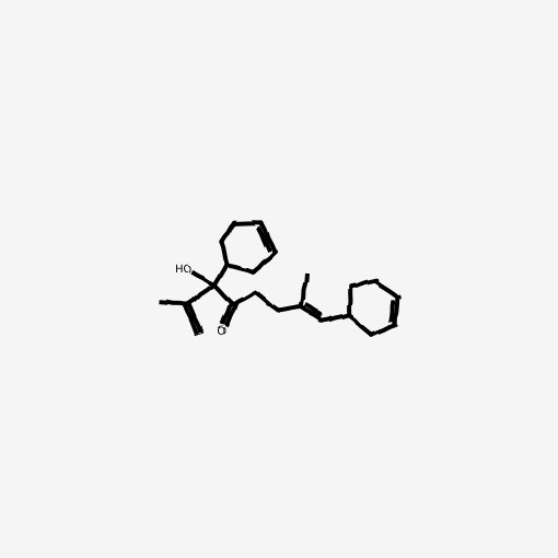 C=C(C)C(O)(C(=O)CC/C(C)=C/C1CC=CCC1)C1CC=CCC1